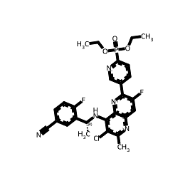 CCOP(=O)(OCC)c1ccc(-c2nc3c(N[C@H](C)c4cc(C#N)ccc4F)c(Cl)c(C)nc3cc2F)cn1